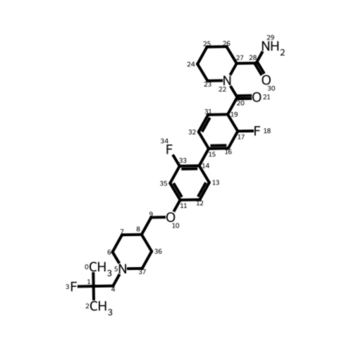 CC(C)(F)CN1CCC(COc2ccc(C3=CC(F)C(C(=O)N4CCCCC4C(N)=O)C=C3)c(F)c2)CC1